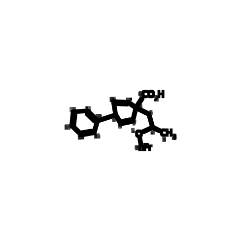 CCCOC(C)CC1(C(=O)O)C=CC(c2ccccc2)C=C1